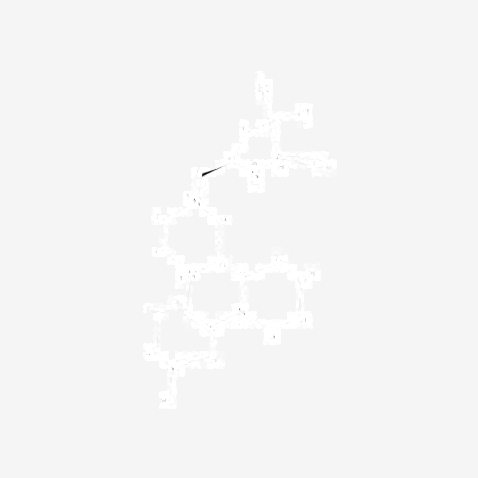 CCC1(CC)C[C@H](CN2CCN(c3ccc(C)cc3N3CCOCC3)CC2)NC1=O